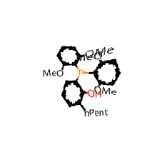 CCCCCc1cccc(P(c2c(OC)cccc2OC)c2c(OC)cccc2OC)c1O